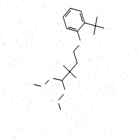 C[SiH2]OC(O[SiH2]C)C(C)(C)CCOc1ccccc1C(C)(C)O